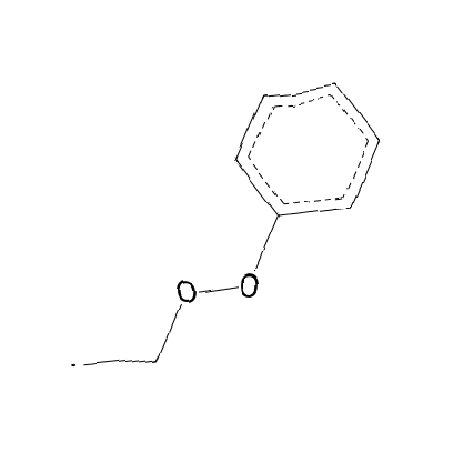 [CH2]COOc1ccccc1